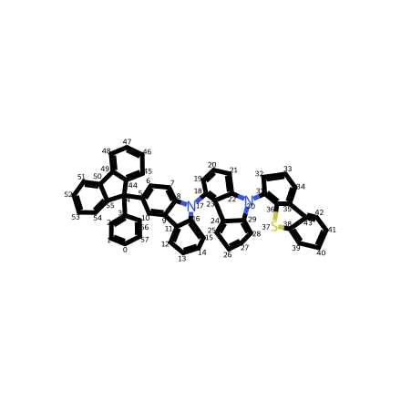 c1ccc(C2(c3ccc4c(c3)c3ccccc3n4-c3cccc4c3c3ccccc3n4-c3cccc4c3sc3ccccc34)c3ccccc3-c3ccccc32)cc1